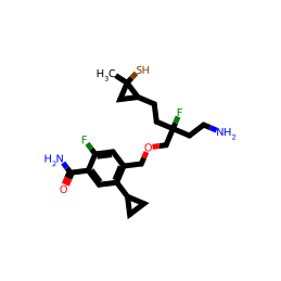 CC1(S)CC1CCC(F)(CCN)COCc1cc(F)c(C(N)=O)cc1C1CC1